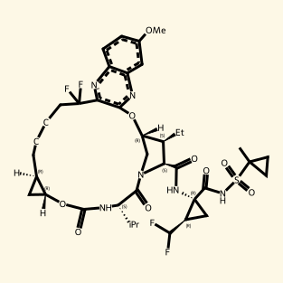 CC[C@@H]1[C@@H]2CN(C(=O)[C@H](C(C)C)NC(=O)O[C@@H]3C[C@H]3CCCCC(F)(F)c3nc4ccc(OC)cc4nc3O2)[C@@H]1C(=O)N[C@]1(C(=O)NS(=O)(=O)C2(C)CC2)C[C@H]1C(F)F